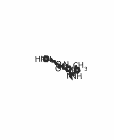 Cc1cccc(-c2[nH]cnc2-c2ccc3ncc(C(=O)OCCCCN4CCNCC4)cc3c2)n1